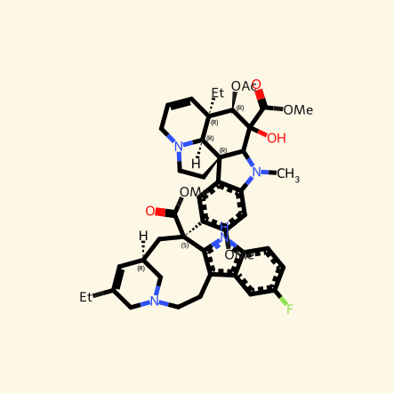 CCC1=C[C@@H]2CN(CCc3c([nH]c4ccc(F)cc34)[C@@](C(=O)OC)(c3cc4c(cc3OC)N(C)C3C(O)(C(=O)OC)[C@H](OC(C)=O)[C@]5(CC)C=CCN6CC[C@]43[C@@H]65)C2)C1